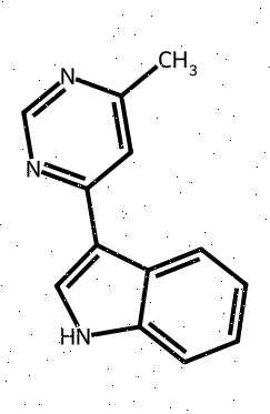 Cc1cc(-c2c[nH]c3ccccc23)ncn1